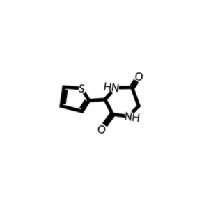 O=C1CNC(=O)C(c2cccs2)N1